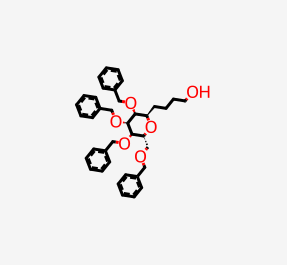 OCCCC[C@H]1O[C@H](COCc2ccccc2)[C@@H](OCc2ccccc2)[C@H](OCc2ccccc2)[C@H]1OCc1ccccc1